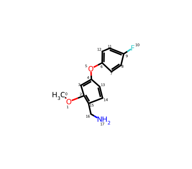 COc1cc(Oc2ccc(F)cc2)ccc1CN